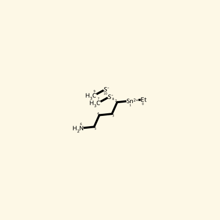 C[CH2][Sn+2][CH2]CCCN.C[S-].C[S-]